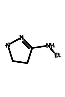 CCNC1=N[N]CC1